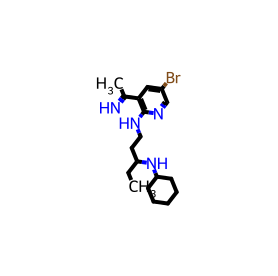 CCC(CCNc1ncc(Br)cc1C(C)=N)NC1CCCCC1